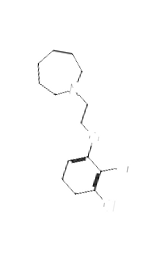 CCC1=C(Cl)CCC=C1OCCN1CCCCCC1